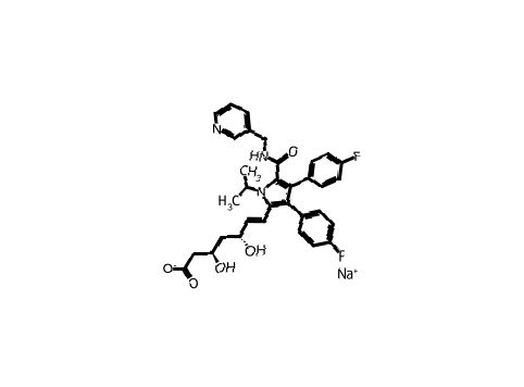 CC(C)n1c(/C=C/[C@H](O)C[C@@H](O)CC(=O)[O-])c(-c2ccc(F)cc2)c(-c2ccc(F)cc2)c1C(=O)NCc1cccnc1.[Na+]